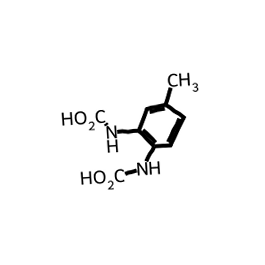 Cc1ccc(NC(=O)O)c(NC(=O)O)c1